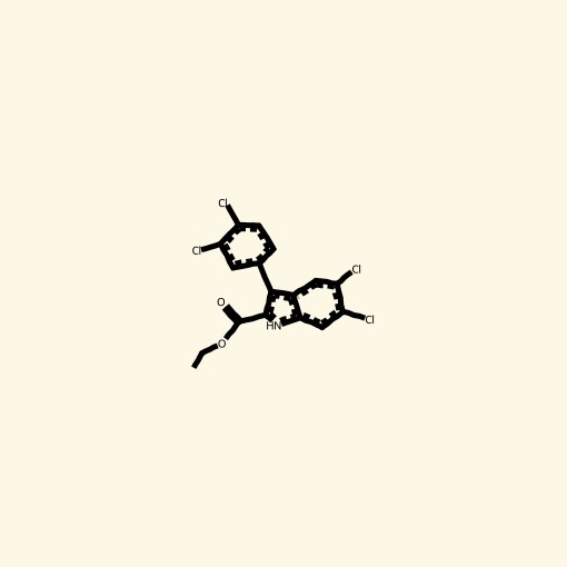 CCOC(=O)c1[nH]c2cc(Cl)c(Cl)cc2c1-c1ccc(Cl)c(Cl)c1